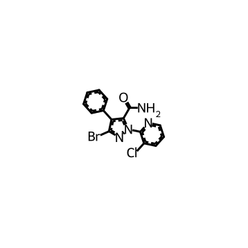 NC(=O)c1c(-c2ccccc2)c(Br)nn1-c1ncccc1Cl